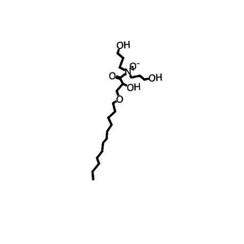 CCCCCCCCCCCCOCC(O)C(=O)[N+]([O-])(CCCO)CCCO